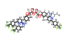 CCCCN(Cc1ccc(OC(C)(C)C(=O)OC(=O)C(C)(C)Oc2ccc(CN(Cc3ccc(C(F)(F)F)cc3)c3cccc(-c4ccc(C(F)(F)F)cc4)n3)cc2C)c(C)c1)c1cccc(-c2ccc(C(F)(F)F)cc2)n1